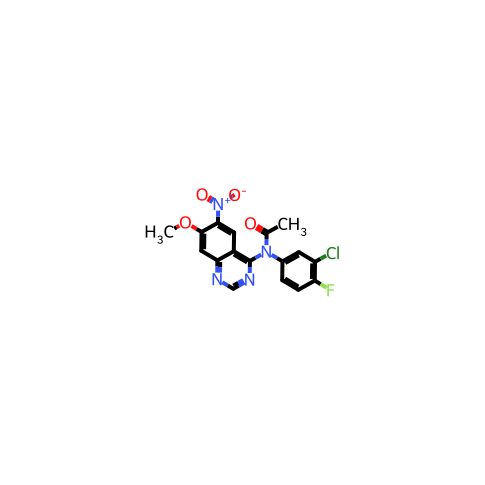 COc1cc2ncnc(N(C(C)=O)c3ccc(F)c(Cl)c3)c2cc1[N+](=O)[O-]